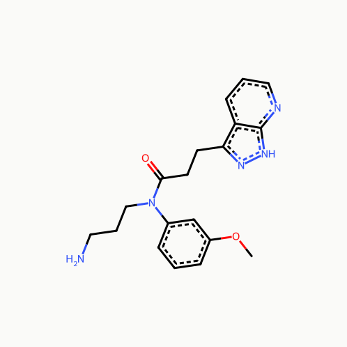 COc1cccc(N(CCCN)C(=O)CCc2n[nH]c3ncccc23)c1